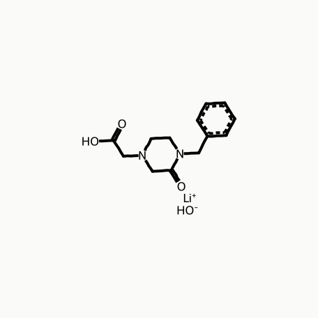 O=C(O)CN1CCN(Cc2ccccc2)C(=O)C1.[Li+].[OH-]